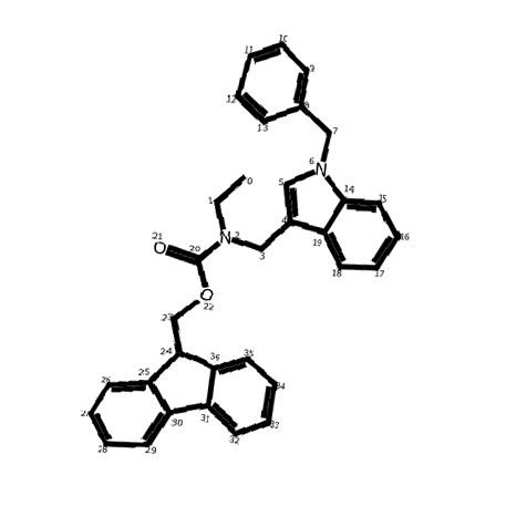 CCN(Cc1cn(Cc2ccccc2)c2ccccc12)C(=O)OCC1c2ccccc2-c2ccccc21